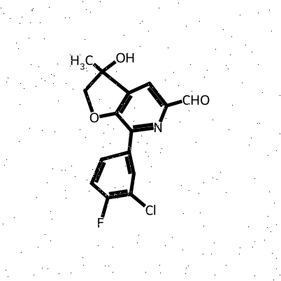 CC1(O)COc2c1cc(C=O)nc2-c1ccc(F)c(Cl)c1